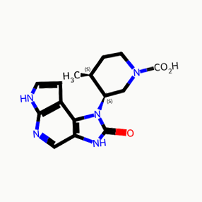 C[C@H]1CCN(C(=O)O)C[C@H]1n1c(=O)[nH]c2cnc3[nH]ccc3c21